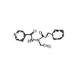 O=[C]CN(NC(=O)c1ccncc1)C(=O)/C=C/c1ccccc1